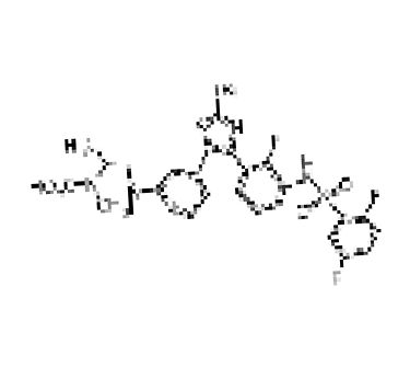 C[C@@H](CNc1cc(-c2sc(C(C)(C)C)nc2-c2cccc(NS(=O)(=O)c3cc(F)ccc3F)c2F)ccn1)N(C)C(=O)O